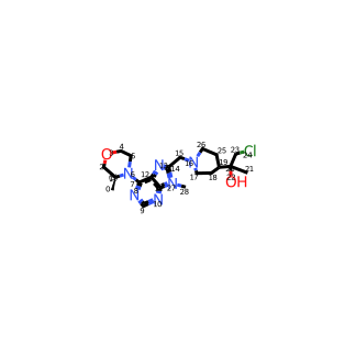 C[C@H]1COCCN1c1ncnc2c1nc(CN1CCC(C(C)(O)CCl)CC1)n2C